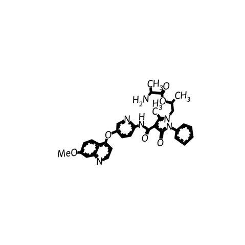 COc1ccc2c(Oc3ccc(NC(=O)c4c(C)n(CC(C)OC(=O)C(C)N)n(-c5ccccc5)c4=O)nc3)ccnc2c1